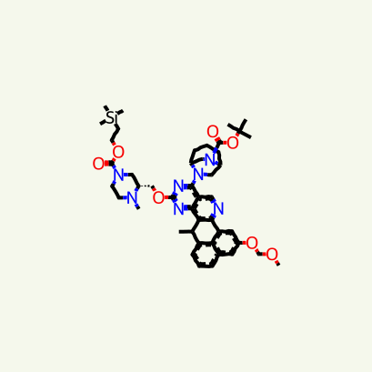 COCOc1cc2c3c(cccc3c1)C(C)c1c-2ncc2c(N3CC4CCCC3CN4C(=O)OC(C)(C)C)nc(OC[C@H]3CN(C(=O)OCC[Si](C)(C)C)CCN3C)nc12